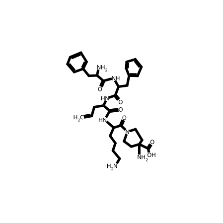 C=CCC(NC(=O)C(Cc1ccccc1)NC(=O)C(N)Cc1ccccc1)C(=O)NC(CCCCN)C(=O)N1CCC(N)(C(=O)O)CC1